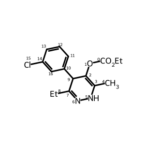 CCOC(=O)OC1=C(C)NN=C(CC)C1c1cccc(Cl)c1